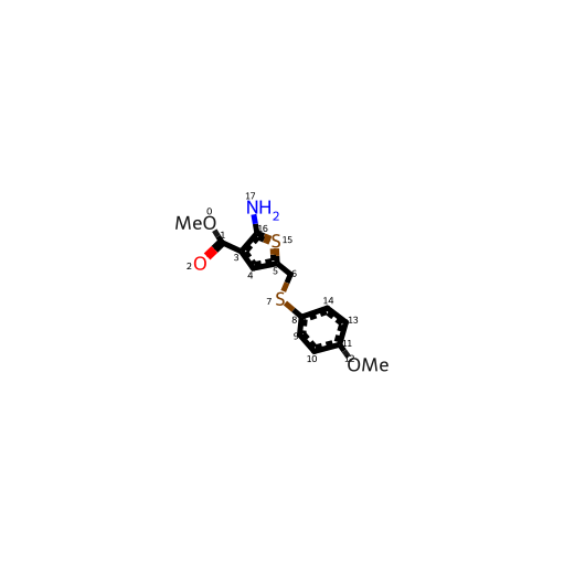 COC(=O)c1cc(CSc2ccc(OC)cc2)sc1N